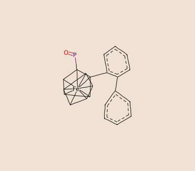 O=P[C]12[CH]3[CH]4[CH]5[C]1(c1ccccc1-c1ccccc1)[Fe]43521678[CH]2[CH]1[CH]6[CH]7[CH]28